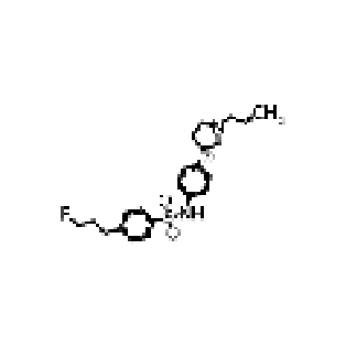 C=CCN1CC[C@@H](c2ccc(NS(=O)(=O)c3ccc(CCCF)cc3)cc2)C1